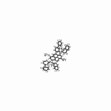 CC(C)c1cc(N(C2=C3Oc4ccccc4C3CC=C2)c2ccc3ccccc3n2)c2ccc3c(C(C)C)cc(N(c4ccc5ccccc5n4)c4cccc5c4oc4ccccc45)c4ccc1c2c34